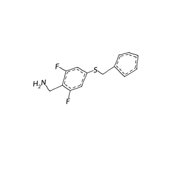 NCc1c(F)cc(SCc2ccccc2)cc1F